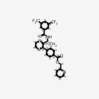 C[C@@H](NC(=O)c1cc(C(F)(F)F)cc(C(F)(F)F)c1)c1nccnc1-c1ccc(C(=O)OCc2ccccn2)cc1